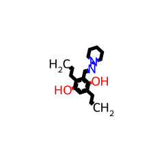 C=CCc1cc(O)c(CC=C)c(/C=N/N2CCCCC2)c1O